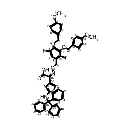 COc1ccc(COc2c(F)cc(CO/N=C(\C(=O)O)c3csc(NC(c4ccccc4)(c4ccccc4)c4ccccc4)n3)c(F)c2OCc2ccc(OC)cc2)cc1